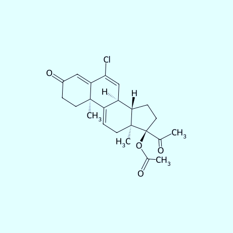 CC(=O)O[C@]1(C(C)=O)CC[C@H]2[C@@H]3C=C(Cl)C4=CC(=O)CC[C@]4(C)C3=CC[C@@]21C